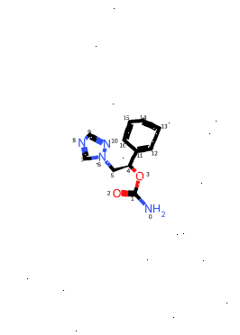 NC(=O)O[C@@H](Cn1cncn1)c1ccccc1